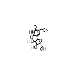 N#CCn1cc([C@@H]2O[C@H](CO)C(O)C2O)c(=O)[nH]c1=O